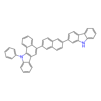 c1ccc(-n2c3ccccc3c3cc(-c4ccc5cc(-c6ccc7c(c6)[nH]c6ccccc67)ccc5c4)c4ccccc4c32)cc1